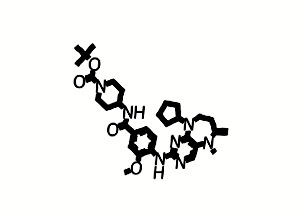 C=C1CCN(C2CCCC2)c2nc(Nc3ccc(C(=O)NC4CCN(C(=O)OC(C)(C)C)CC4)cc3OC)ncc2N1C